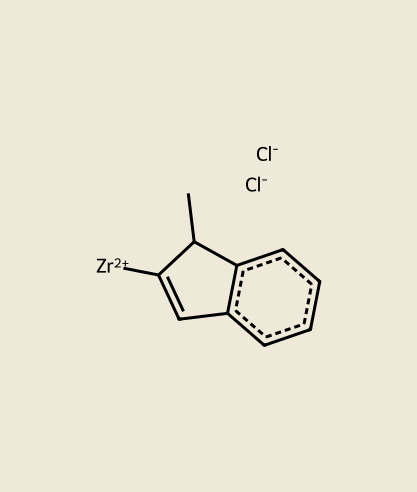 CC1[C]([Zr+2])=Cc2ccccc21.[Cl-].[Cl-]